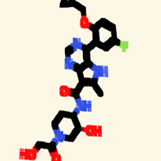 Cc1[nH]c2c(-c3cc(F)ccc3OCC3CC3)ncnc2c1C(=O)N[C@@H]1CCN(C(=O)CO)C[C@H]1O